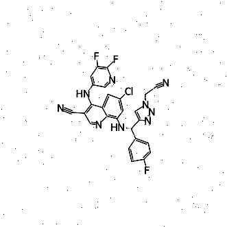 N#CCn1cc([C@@H](Nc2cc(Cl)cc3c(Nc4cnc(F)c(F)c4)c(C#N)cnc23)c2ccc(F)cc2)nn1